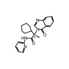 C[C@@](C(=O)Nc1ccccn1)(C1CCCCC1)n1cnc2ccccc2c1=O